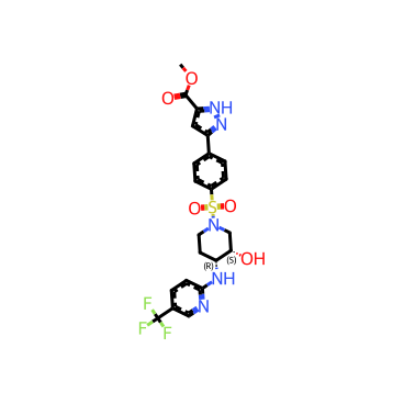 COC(=O)c1cc(-c2ccc(S(=O)(=O)N3CC[C@@H](Nc4ccc(C(F)(F)F)cn4)[C@@H](O)C3)cc2)n[nH]1